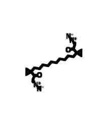 [N-]=[N+]=CC(=O)C1(CCCCCCCCCCC2(C(=O)C=[N+]=[N-])CC2)CC1